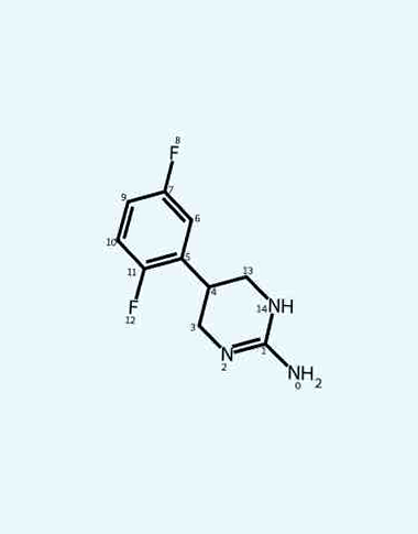 NC1=NCC(c2cc(F)ccc2F)CN1